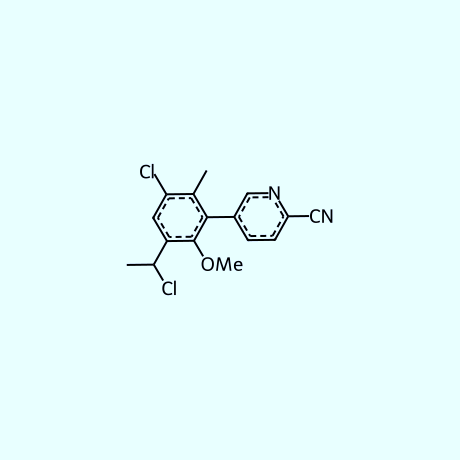 COc1c(C(C)Cl)cc(Cl)c(C)c1-c1ccc(C#N)nc1